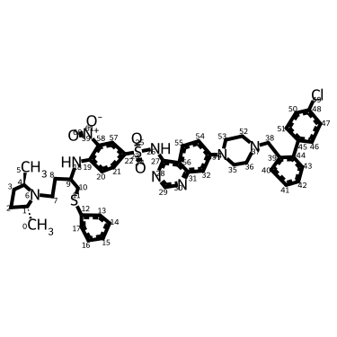 C[C@@H]1CC[C@@H](C)N1CCC(CSc1ccccc1)Nc1ccc(S(=O)(=O)Nc2ncnc3cc(N4CCN(Cc5ccccc5-c5ccc(Cl)cc5)CC4)ccc23)cc1[N+](=O)[O-]